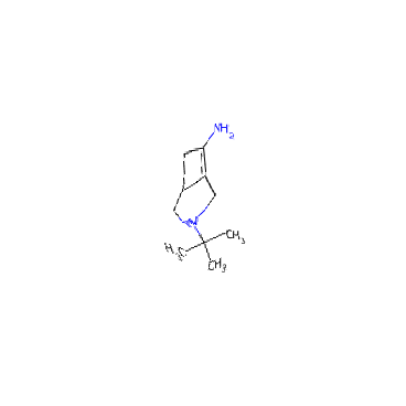 CC(C)(C)N1CC2=C(N)CC2C1